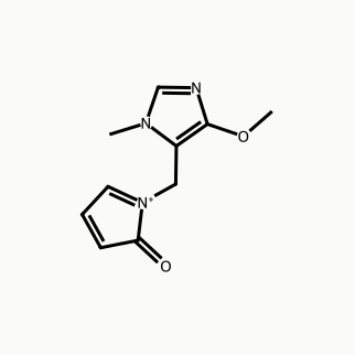 COc1ncn(C)c1C[N+]1=CC=CC1=O